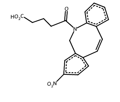 O=C(O)CCCC(=O)N1Cc2cc([N+](=O)[O-])ccc2C=Cc2ccccc21